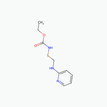 CCOC(=O)NSCNc1ccccn1